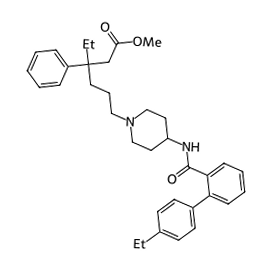 CCc1ccc(-c2ccccc2C(=O)NC2CCN(CCCC(CC)(CC(=O)OC)c3ccccc3)CC2)cc1